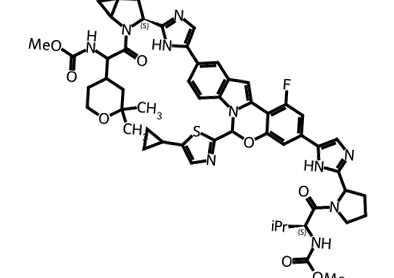 COC(=O)NC(C(=O)N1C2CC2C[C@H]1c1ncc(-c2ccc3c(c2)cc2n3C(c3ncc(C4CC4)s3)Oc3cc(-c4cnc(C5CCCN5C(=O)[C@@H](NC(=O)OC)C(C)C)[nH]4)cc(F)c3-2)[nH]1)C1CCOC(C)(C)C1